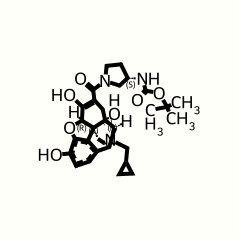 CC(C)(C)OC(=O)N[C@H]1CCN(C(=O)C2=C(O)[C@@H]3Oc4c(O)ccc5c4[C@@]34CCN(CC3CC3)[C@H](C5)[C@]4(O)C2)C1